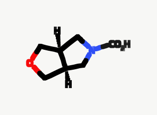 O=C(O)N1C[C@H]2COC[C@H]2C1